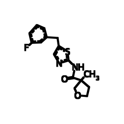 CC1(C(=O)Nc2ncc(Cc3cccc(F)c3)s2)CCOC1